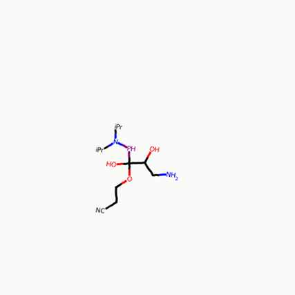 CC(C)N(PC(O)(OCCC#N)C(O)CN)C(C)C